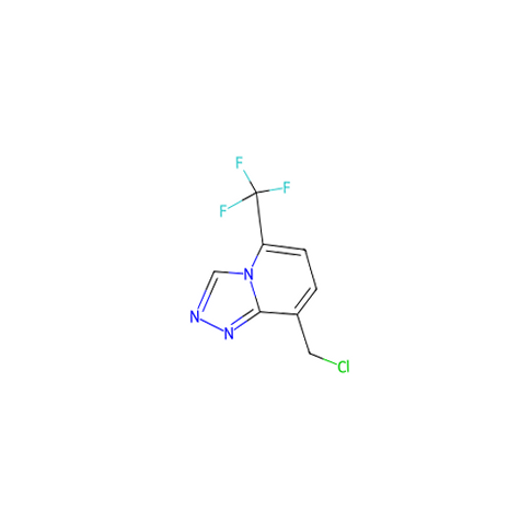 FC(F)(F)c1ccc(CCl)c2nncn12